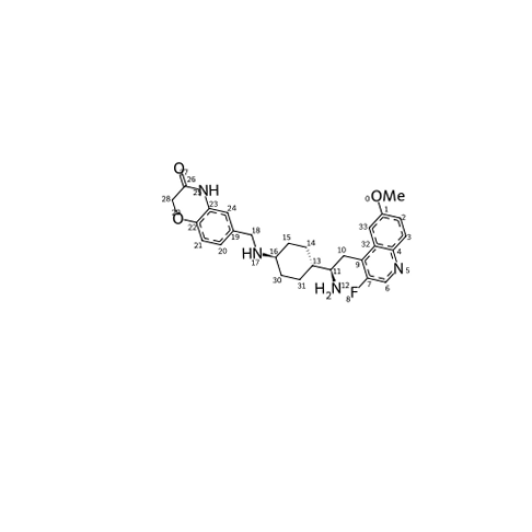 COc1ccc2ncc(F)c(C[C@@H](N)[C@H]3CC[C@H](NCc4ccc5c(c4)NC(=O)CO5)CC3)c2c1